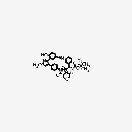 Cn1cc(-c2ccc(NC(=O)[C@@H]3COCCN3C(=O)[C@H](NC(=O)OC(C)(C)C)c3ccccc3)cc2)c(-c2cc(C#N)ccc2O)n1